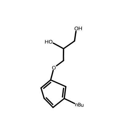 CCCCc1cccc(OCC(O)CO)c1